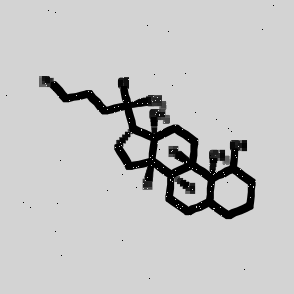 CC(C)CCC[C@](C)(Cl)[C@H]1CC[C@H]2[C@@H]3CCC4CCCC(O)[C@]4(C)[C@H]3CC[C@@]21C